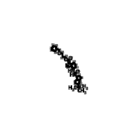 CC(C)(C)c1ccc2c(c1)CC[C@H]2NC(=O)Nc1cccc2c1cnn2C(=O)OCCCOCc1ccccc1